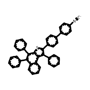 [C-]#[N+]c1ccc(-c2ccc(-c3sc4c(-c5ccccc5)c(-c5ccccc5)c5ccccc5c4c3-c3ccccc3)cc2)cc1